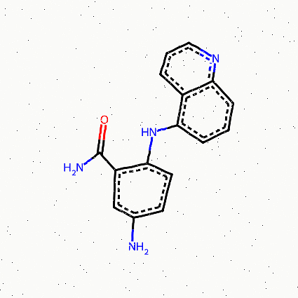 NC(=O)c1cc(N)ccc1Nc1cccc2ncccc12